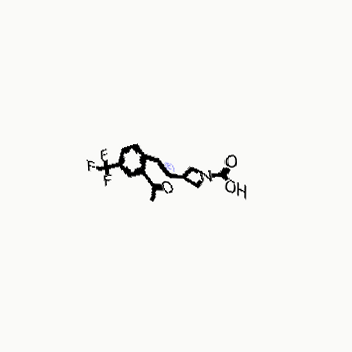 CC(=O)c1cc(C(F)(F)F)ccc1/C=C/C1CN(C(=O)O)C1